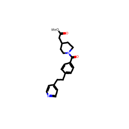 COC(=O)CC1CCN(C(=O)c2ccc(CCc3ccncc3)cc2)CC1